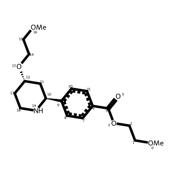 COCCOC(=O)c1ccc([C@@H]2C[C@@H](OCCOC)CCN2)cc1